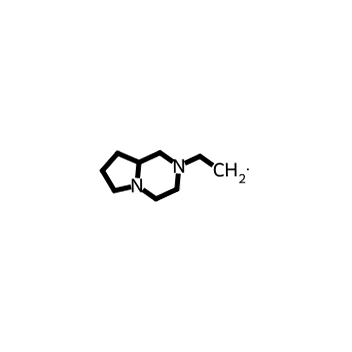 [CH2]CN1CCN2CCCC2C1